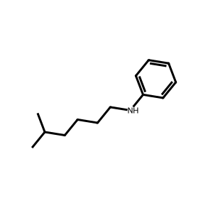 CC(C)CCCCNc1ccccc1